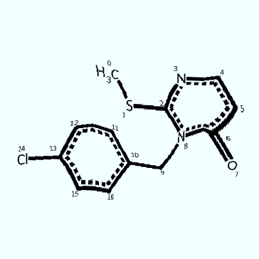 CSc1nccc(=O)n1Cc1ccc(Cl)cc1